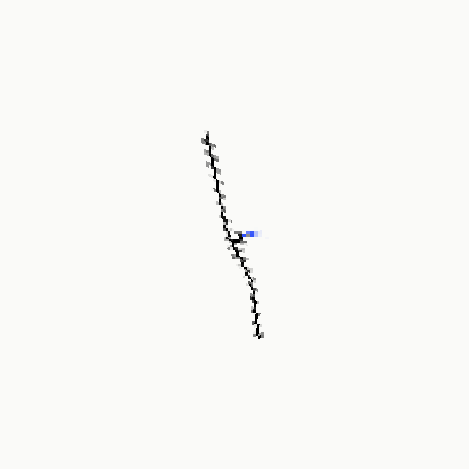 CCCCCCCCCCCCCCCCCCC(=CCN)CCCCCCCCCCCCCCCCCC